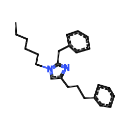 CCCCCCn1cc(CCCc2ccccc2)nc1Cc1ccccc1